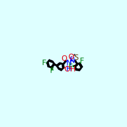 O=C(NN1OCSC1c1c(F)cccc1F)c1cc(-c2ccc(F)cc2F)ccc1O